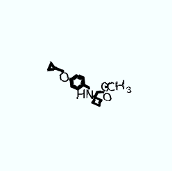 COC(=O)CC1(NCc2ccc(OCC3CC3)cc2)CCC1